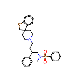 CN(CC(CCN1CCC2(CC1)CSc1ccccc12)c1ccccc1)S(=O)(=O)c1ccccc1